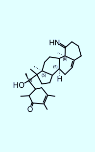 CC1=C(C)C(=O)C(C)C([C@](C)(O)C2(C)CCC3[C@@H]4CC=C5CCCC(=N)[C@]5(C)C4CC[C@@]32C)C1